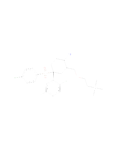 C[Si](C)(C)CCOCC1CC(c2cc(F)ccc2F)(S(=O)(=O)c2ccc(Cl)cc2)CCC1N